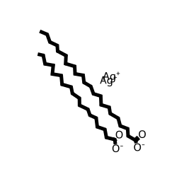 CCCCCCCCCCCCCCCCCC(=O)[O-].CCCCCCCCCCCCCCCCCCCCCC(=O)[O-].[Ag+].[Ag+]